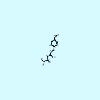 COc1ccc(COC(=O)CC(=O)C(C)C)cc1